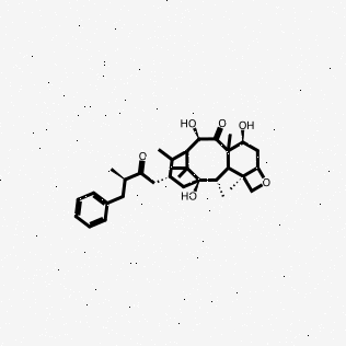 CC1C2[C@@H](O)C(=O)C3(C)C([C@H](C)[C@](O)(C[C@@H]1CC(=O)[C@H](C)Cc1ccccc1)C2(C)C)[C@]1(C)COC1C[C@@H]3O